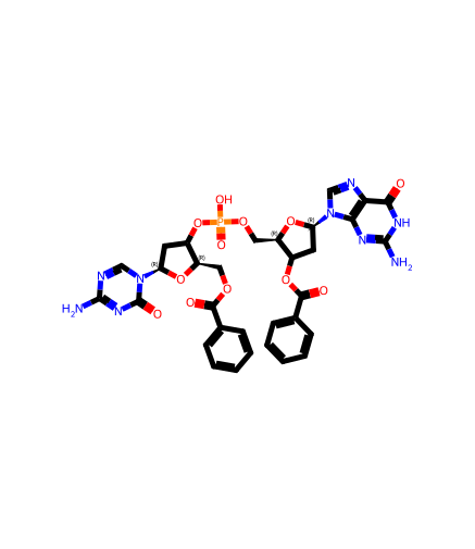 Nc1ncn([C@H]2CC(OP(=O)(O)OC[C@H]3O[C@@H](n4cnc5c(=O)[nH]c(N)nc54)CC3OC(=O)c3ccccc3)[C@@H](COC(=O)c3ccccc3)O2)c(=O)n1